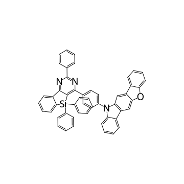 c1ccc(-c2nc(-c3ccc(-n4c5ccccc5c5cc6oc7ccccc7c6cc54)cc3)c3c(n2)-c2ccccc2[Si]3(c2ccccc2)c2ccccc2)cc1